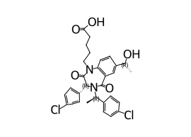 C[C@H](c1ccc(Cl)cc1)N1C(=O)c2cc([C@@H](C)O)ccc2N(CCCCC(=O)O)C(=O)[C@H]1c1ccc(Cl)cc1